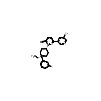 Cc1cncc(-c2ccc(=O)n([C@H]3CC[C@](CN)(c4cccc(Cl)c4)CC3)n2)c1